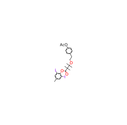 CC(=O)Oc1ccc(CCOC(C)(C)C(C)(C)C(=O)Oc2c(I)cc(C)cc2I)cc1